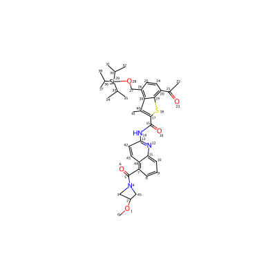 COC1CN(C(=O)c2cccc3nc(NC(=O)c4sc5c(C(C)=O)ccc(CO[Si](C(C)C)(C(C)C)C(C)C)c5c4C)ccc23)C1